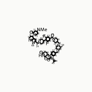 CNc1ccn(-c2ccnc3c2cc([C@H](C)N2CC=C(c4c(F)cc(C(=O)N5CCC(CN6CCN(Cc7ccc8c(c7)n(C7CC7)c(=O)n8[C@@H]7CCC(=O)NC7=O)C[C@@H]6C)CC5)cc4F)CC2)n3C)c(=O)c1